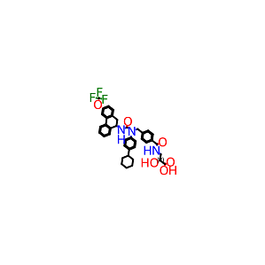 O=C(NC[C@@H](O)C(=O)O)c1ccc(CN(C(=O)NC2Cc3ccc(OC(F)(F)F)cc3-c3ccccc32)c2ccc(C3CCCCC3)cc2)cc1